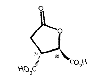 O=C1C[C@@H](C(=O)O)[C@H](C(=O)O)O1